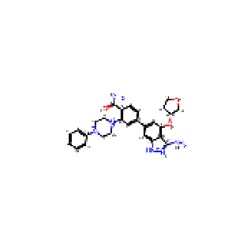 NC(=O)c1ccc(-c2cc(O[C@H]3CCOC3)c3c(N)n[nH]c3c2)cc1N1CCN(c2ccccc2)CC1